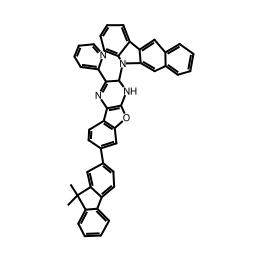 CC1(C)c2ccccc2-c2ccc(-c3ccc4c5c(oc4c3)NC(n3c4ccccc4c4cc6ccccc6cc43)C(c3ccccn3)=N5)cc21